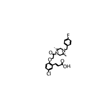 C[C@@H]1CN(Cc2ccc(F)cc2)[C@@H](C)CN1C(=O)COc1ccc(Cl)cc1C=CC(=O)O